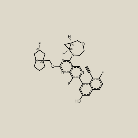 C#Cc1c(F)ccc2cc(O)cc(-c3ncc4c(N5CCOC[C@@H]6C[C@@H]65)nc(OC[C@@]56CCCN5C[C@H](F)C6)nc4c3F)c12